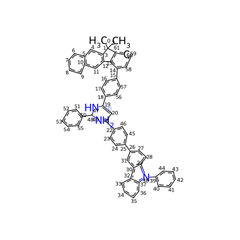 CC1(C)c2cc3ccccc3cc2-c2c(-c3ccc(/C(=C/Cc4ccc(-c5ccc6c(c5)c5ccccc5n6-c5ccccc5)cc4)NC(N)c4ccccc4)cc3)cccc21